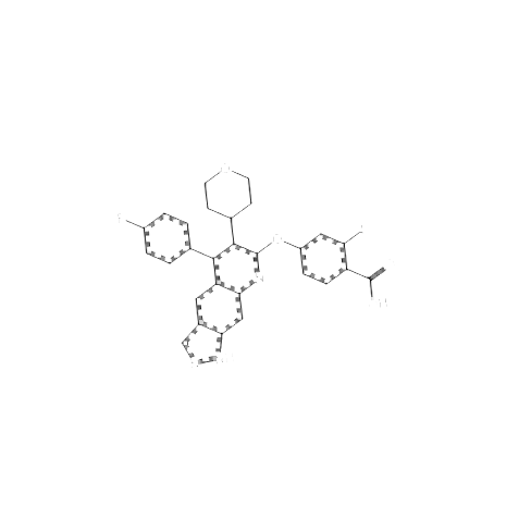 O=C(O)c1ccc(Oc2nc3cc4[nH]ncc4cc3c(-c3ccc(F)cc3)c2C2CCOCC2)cc1F